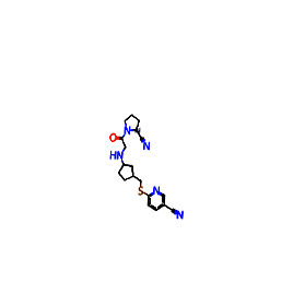 N#Cc1ccc(SCC2CCC(NCC(=O)N3CCC[C@H]3C#N)C2)nc1